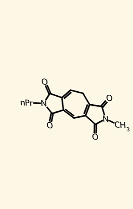 CCCN1C(=O)C2=CCC3=C(C=C2C1=O)C(=O)N(C)C3=O